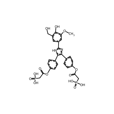 COc1cc(-c2nc(-c3ccc(OC(=O)CP(=O)(O)O)cc3)c(-c3ccc(OC(=O)CP(=O)(O)O)cc3)[nH]2)cc(CO)c1O